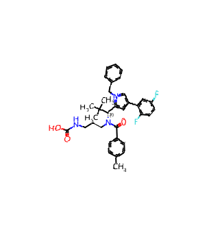 Cc1ccc(C(=O)N(CCCNC(=O)O)[C@@H](c2cc(-c3cc(F)ccc3F)cn2Cc2ccccc2)C(C)(C)C)cc1